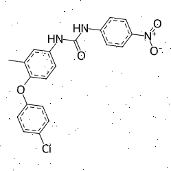 Cc1cc(NC(=O)Nc2ccc([N+](=O)[O-])cc2)ccc1Oc1ccc(Cl)cc1